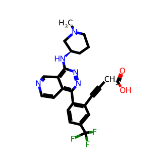 CC#Cc1cc(C(F)(F)F)ccc1-c1nnc(N[C@@H]2CCCN(C)C2)c2cnccc12.O=CO